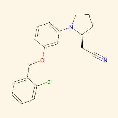 N#CC[C@@H]1CCCN1c1cccc(OCc2ccccc2Cl)c1